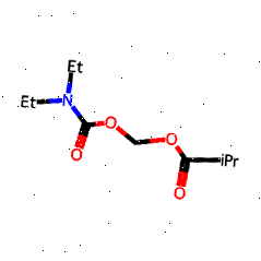 CCN(CC)C(=O)OCOC(=O)C(C)C